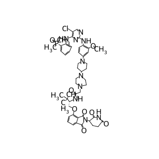 COc1cc(N2CCC(N3CCN(CC(=O)N[C@H](COc4cccc5c4C(=O)N(C4CCC(=O)NC4=O)C5=O)C(C)(C)C)CC3)CC2)ccc1Nc1ncc(Cl)c(Nc2ccccc2P(C)(C)=O)n1